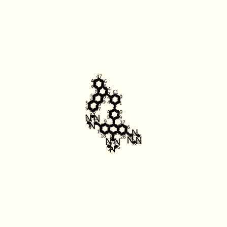 c1cc(-c2ccc(-c3c4cc(-c5ncncn5)ccc4c(-c4ncncn4)c4cc(-c5ncncn5)ccc34)cc2)cc(-c2cc3ccccc3c3cc4ccccc4cc23)c1